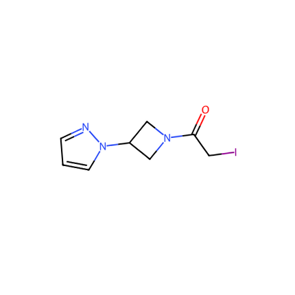 O=C(CI)N1CC(n2cccn2)C1